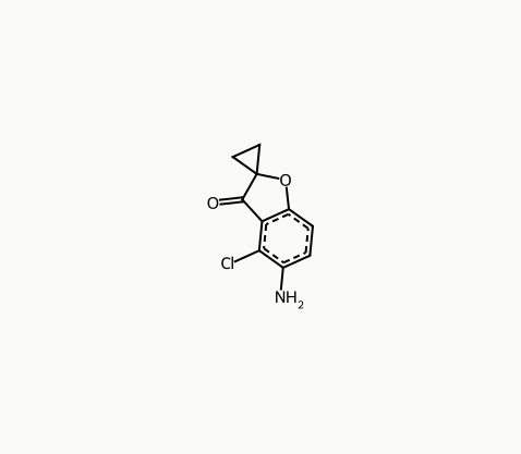 Nc1ccc2c(c1Cl)C(=O)C1(CC1)O2